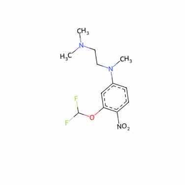 CN(C)CCN(C)c1ccc([N+](=O)[O-])c(OC(F)F)c1